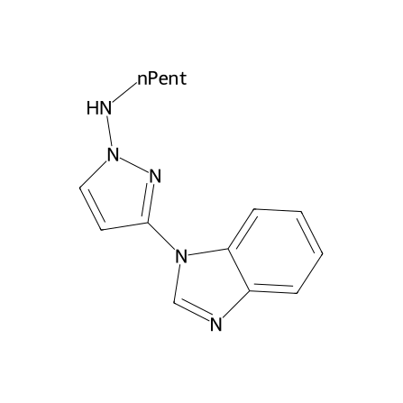 CCCCCNn1ccc(-n2cnc3ccccc32)n1